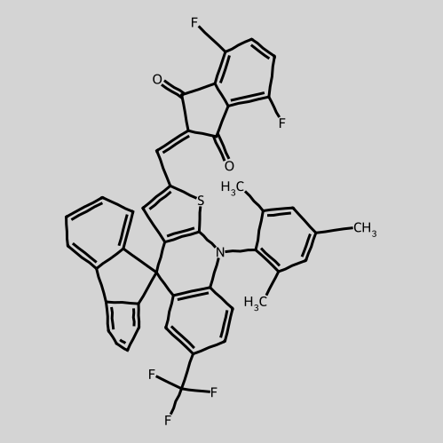 Cc1cc(C)c(N2c3ccc(C(F)(F)F)cc3C3(c4ccccc4-c4ccccc43)c3cc(C=C4C(=O)c5c(F)ccc(F)c5C4=O)sc32)c(C)c1